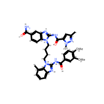 CCn1nc(C)cc1C(=O)Nc1nc2cc(C(N)=O)ccc2n1CCCCn1c(NC(=O)c2ccc(OC)c(OC)c2)nc2cccc(C)c21